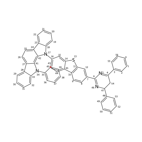 c1ccc(C2=NC(c3ccc4c(c3)sc3cc(-n5c6ccccc6c6ccc7c8ccccc8n(-c8ccccc8)c7c65)ccc34)=NC(c3ccccc3)C2)cc1